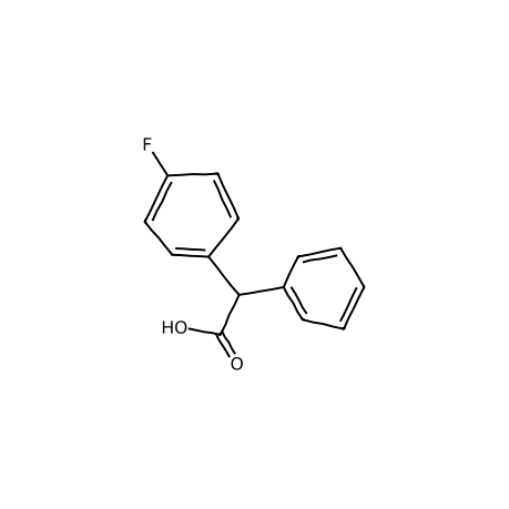 O=C(O)C(c1ccccc1)c1ccc(F)cc1